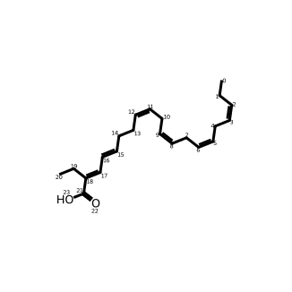 CC/C=C\C/C=C\C/C=C\C/C=C\CC/C=C/C=C(\CC)C(=O)O